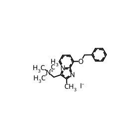 Cc1nc2c(OCc3ccccc3)cccn2c1C[N+](C)(C)C.[I-]